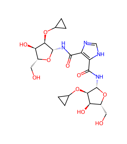 O=C(N[C@@H]1O[C@H](CO)[C@@H](O)[C@H]1OC1CC1)c1nc[nH]c1C(=O)N[C@@H]1O[C@H](CO)[C@@H](O)[C@H]1OC1CC1